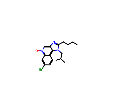 CCCCc1nc2c[n+]([O-])c3cc(Br)ccc3c2n1CC(C)C